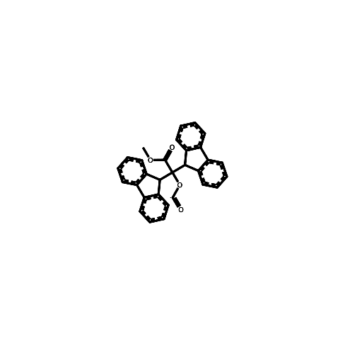 COC(=O)C(O[C]=O)(C1c2ccccc2-c2ccccc21)C1c2ccccc2-c2ccccc21